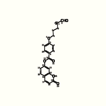 O=C[Si]CCCOc1ccc(C(=O)Oc2ccc3ccc(=O)oc3c2)cc1